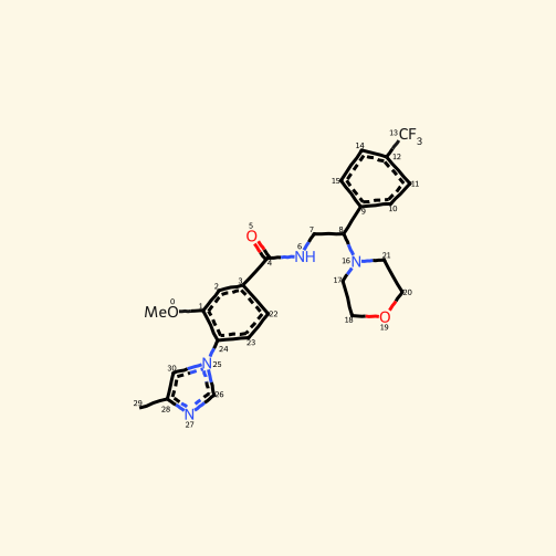 COc1cc(C(=O)NCC(c2ccc(C(F)(F)F)cc2)N2CCOCC2)ccc1-n1cnc(C)c1